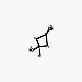 C[C@]1(O)C[C@@H](O)C1